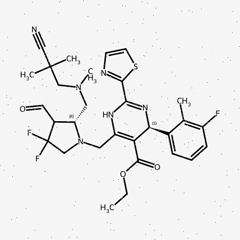 CCOC(=O)C1=C(CN2CC(F)(F)C(C=O)[C@@H]2CN(C)CC(C)(C)C#N)NC(c2nccs2)=N[C@H]1c1cccc(F)c1C